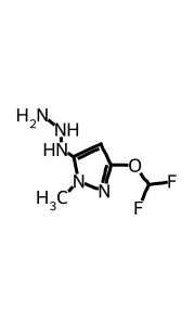 Cn1nc(OC(F)F)cc1NNN